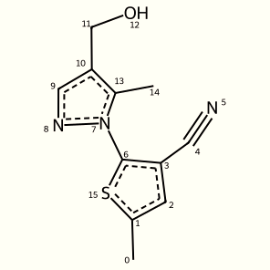 Cc1cc(C#N)c(-n2ncc(CO)c2C)s1